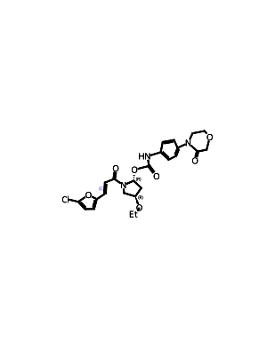 CCO[C@@H]1C[C@@H](OC(=O)Nc2ccc(N3CCOCC3=O)cc2)N(C(=O)/C=C/c2ccc(Cl)o2)C1